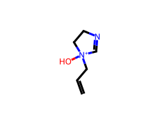 C=CC[N+]1(O)C=NCC1